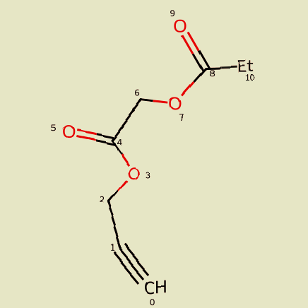 C#CCOC(=O)COC(=O)CC